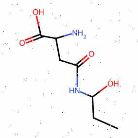 CCC(O)NC(=O)CC(N)C(=O)O